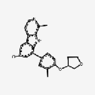 Cc1cc(-c2cc(Cl)cc3c2[nH]c2c(C)nccc23)ccc1OC1CCOC1